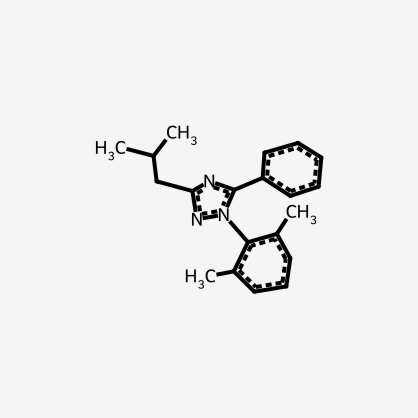 Cc1cccc(C)c1-n1nc(CC(C)C)nc1-c1ccccc1